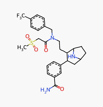 CS(=O)(=O)CC(=O)N(CCC1C2CCC(CC1c1cccc(C(N)=O)c1)N2)Cc1ccc(C(F)(F)F)cc1